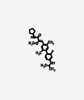 CO/C(=C\c1cc(C)c(-c2ccc(NC(C)C)cc2F)cc1C)C(=O)NC1CCCC1